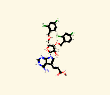 COC(=O)/C=C/c1cn([C@@H]2O[C@H](COCc3ccc(Cl)cc3Cl)[C@@H](OCc3ccc(Cl)cc3Cl)[C@@]2(C)O)c2ncnc(N)c12